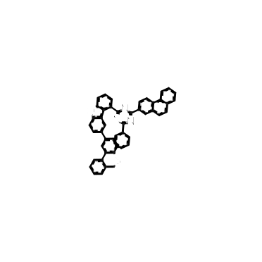 c1ccc(-c2nc(-c3ccc4c(ccc5ccccc54)c3)nc(-c3cccc4oc5ccc(-c6ccc7c(c6)-c6ccccc6CS7)cc5c34)n2)cc1